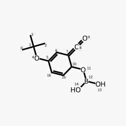 CC(C)(C)OC1=CC(=C=O)C(OB(O)O)C=C1